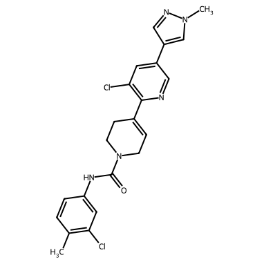 Cc1ccc(NC(=O)N2CC=C(c3ncc(-c4cnn(C)c4)cc3Cl)CC2)cc1Cl